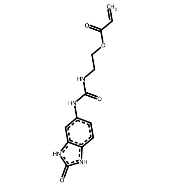 C=CC(=O)OCCNC(=O)Nc1ccc2[nH]c(=O)[nH]c2c1